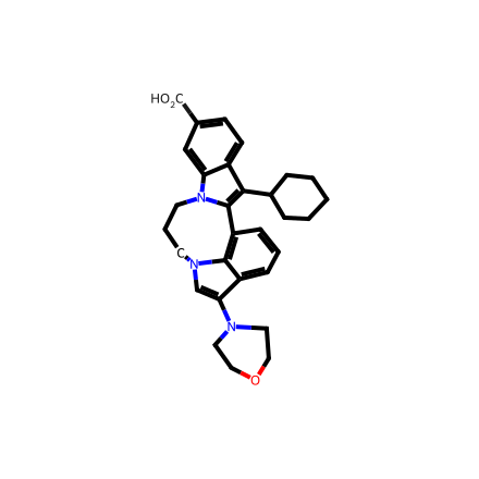 O=C(O)c1ccc2c(C3CCCCC3)c3n(c2c1)CCCn1cc(N2CCOCC2)c2cccc-3c21